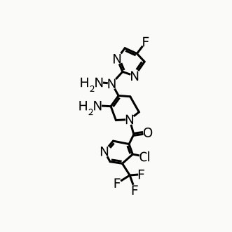 NC1=C(N(N)c2ncc(F)cn2)CCN(C(=O)c2cncc(C(F)(F)F)c2Cl)C1